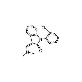 CN(C)C=C1C(=O)N(c2ccccc2Cl)c2ccccc21